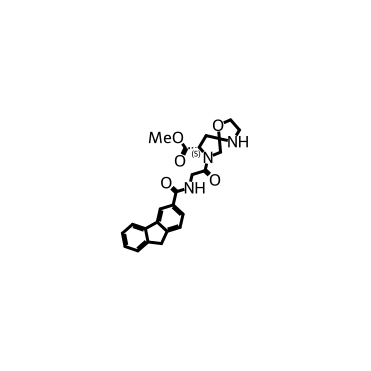 COC(=O)[C@@H]1CC2(CN1C(=O)CNC(=O)c1ccc3c(c1)-c1ccccc1C3)NCCO2